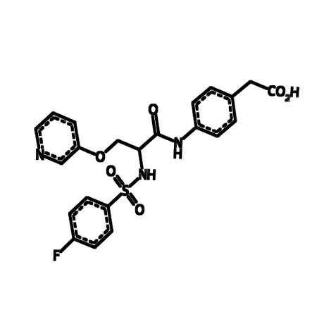 O=C(O)Cc1ccc(NC(=O)C(COc2cccnc2)NS(=O)(=O)c2ccc(F)cc2)cc1